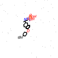 CC(C)(C)C1CCC(Oc2ccc3c(c2)CCC(C(C)(N)COP(=O)(O)O)C3)CC1